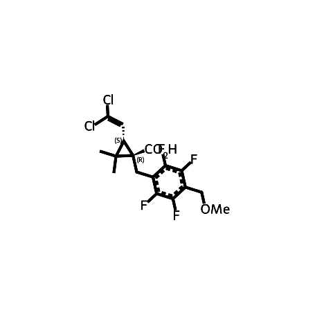 COCc1c(F)c(F)c(C[C@@]2(C(=O)O)[C@@H](C=C(Cl)Cl)C2(C)C)c(F)c1F